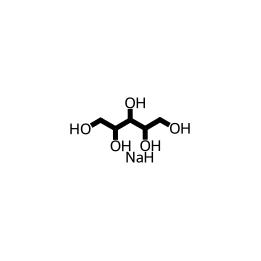 OCC(O)C(O)C(O)CO.[NaH]